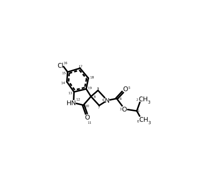 CC(C)OC(=O)N1CC2(C1)C(=O)Nc1cc(Cl)ccc12